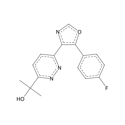 CC(C)(O)c1ccc(-c2ncoc2-c2ccc(F)cc2)nn1